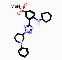 CNS(=O)(=O)c1ccc(NC2CCCCC2)c(-c2nnn(C3CCCN(c4ccccc4)C3)n2)c1